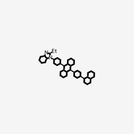 CCc1nc2ccccc2n1-c1ccc(-c2c3ccccc3c(-c3ccc(-c4cccc5ccccc45)cc3)c3ccccc23)cc1